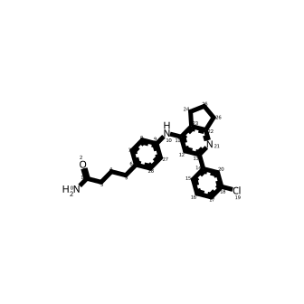 NC(=O)CCCc1ccc(Nc2cc(-c3cccc(Cl)c3)nc3c2CCC3)cc1